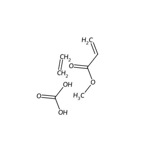 C=C.C=CC(=O)OC.O=C(O)O